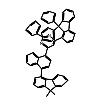 CC1(C)c2ccccc2-c2c(-c3ccc(-c4cc(-c5cccc6c5C(c5ccccc5)(c5ccccc5)c5ccccc5-6)nc(-c5ccccc5)n4)c4ccccc34)cccc21